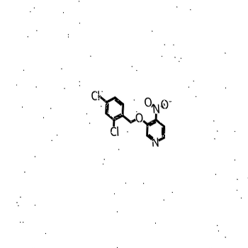 O=[N+]([O-])c1ccncc1OCc1ccc(Cl)cc1Cl